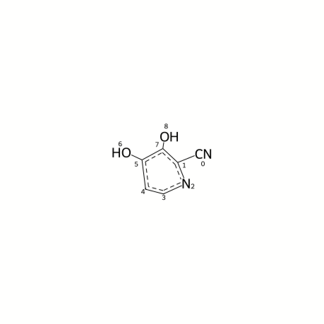 N#Cc1nccc(O)c1O